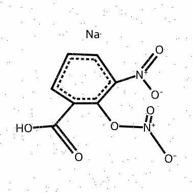 O=C(O)c1cccc([N+](=O)[O-])c1O[N+](=O)[O-].[Na]